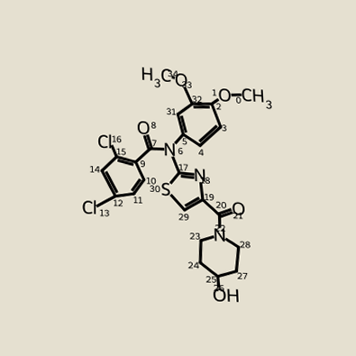 COc1ccc(N(C(=O)c2ccc(Cl)cc2Cl)c2nc(C(=O)N3CCC(O)CC3)cs2)cc1OC